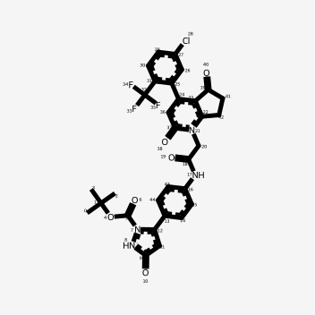 CC(C)(C)OC(=O)n1[nH]c(=O)cc1-c1ccc(NC(=O)Cn2c3c(c(-c4cc(Cl)ccc4C(F)(F)F)cc2=O)C(=O)CC3)cc1